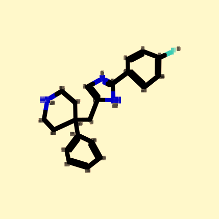 Fc1ccc(-c2ncc(CC3(c4ccccc4)CCNCC3)[nH]2)cc1